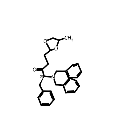 CC1COC(CCC(=O)[C@H](Cc2ccccc2)N(Cc2ccccc2)Cc2ccccc2)O1